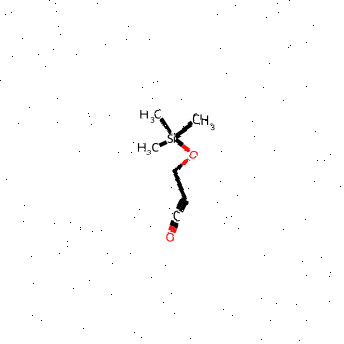 C[Si](C)(C)OCC=C=O